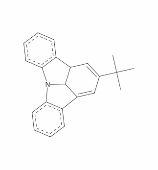 CC(C)(C)C1=CC2c3ccccc3N3c4ccccc4C(=C1)C23